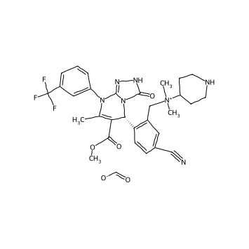 COC(=O)C1=C(C)N(c2cccc(C(F)(F)F)c2)c2n[nH]c(=O)n2[C@@H]1c1ccc(C#N)cc1C[N+](C)(C)C1CCNCC1.O=C[O-]